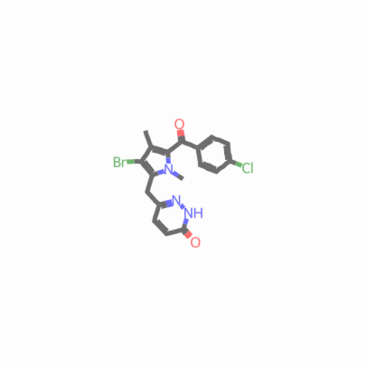 Cc1c(Br)c(Cc2ccc(=O)[nH]n2)n(C)c1C(=O)c1ccc(Cl)cc1